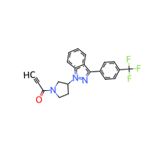 C#CC(=O)N1CCC(n2nc(-c3ccc(C(F)(F)F)cc3)c3ccccc32)C1